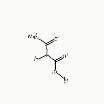 CCOC(=O)C(Cl)C(=O)NC